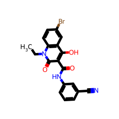 CCn1c(=O)c(C(=O)Nc2cccc(C#N)c2)c(O)c2cc(Br)ccc21